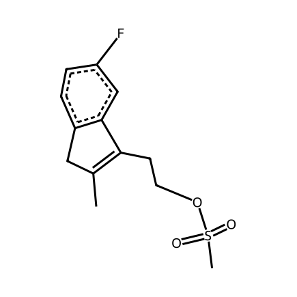 CC1=C(CCOS(C)(=O)=O)c2cc(F)ccc2C1